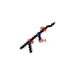 CCCCC#CCCCOC(=O)CCCCN(CCCCO)CCCCCCCC(=O)OC(CCCCCCCC)CCCCCCCC